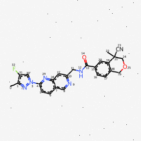 Cc1nn(-c2ccc3cnc(CNC(=O)c4ccc5c(c4)C(C)(C#N)COC5)cc3n2)cc1F